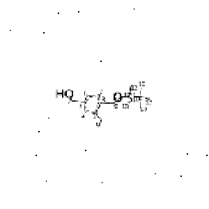 Cc1cc(CO)ccc1CO[Si](C)(C)C(C)(C)C